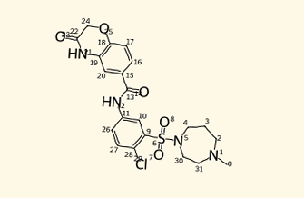 CN1CCCN(S(=O)(=O)c2cc(NC(=O)c3ccc4c(c3)NC(=O)CO4)ccc2Cl)CC1